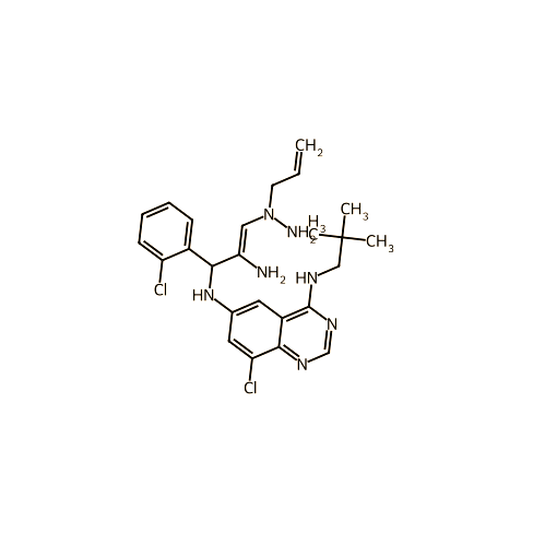 C=CCN(N)/C=C(\N)C(Nc1cc(Cl)c2ncnc(NCC(C)(C)C)c2c1)c1ccccc1Cl